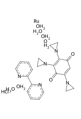 Cl.O.O.O.O.O.O.O=C1C=C(N2CC2)C(=O)C(N2CC2)=C1N1CC1.[Ru].c1ccc(-c2ccccn2)nc1